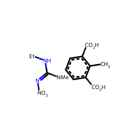 CCNC(=N[N+](=O)[O-])NC.Cc1c(C(=O)O)cccc1C(=O)O